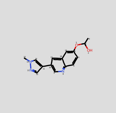 CC(O)Oc1ccc2ncc(-c3cnn(C)c3)cc2c1